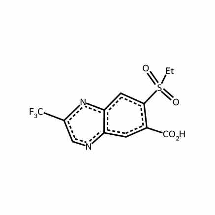 CCS(=O)(=O)c1cc2nc(C(F)(F)F)cnc2cc1C(=O)O